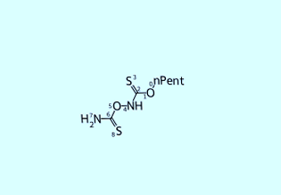 CCCCCOC(=S)NOC(N)=S